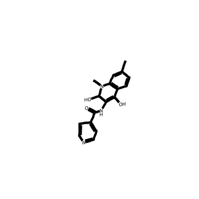 Cc1ccc2c(c1)N(C)C(O)C(NC(=O)c1ccncc1)=C2O